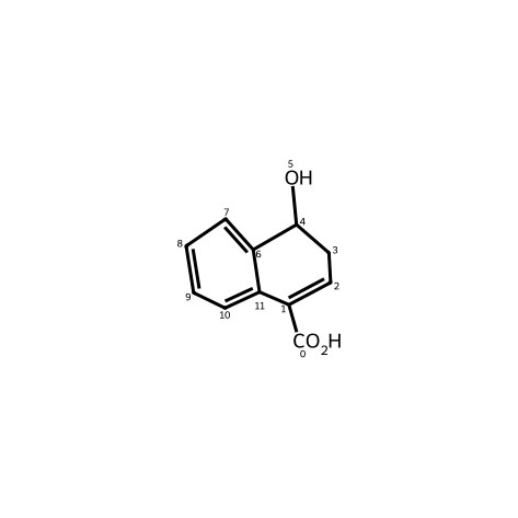 O=C(O)C1=CCC(O)c2ccccc21